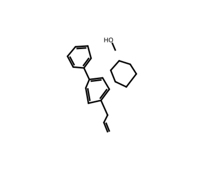 C1CCCCC1.C=CCc1ccc(-c2ccccc2)cc1.CO